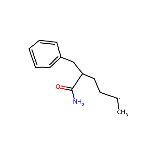 C[CH]CCC(Cc1ccccc1)C(N)=O